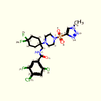 Cn1cc(S(=O)(=O)N2CCN(C3(CNC(=O)c4cc(F)c(Cl)cc4Cl)CCC(F)(F)CC3)CC2)nn1